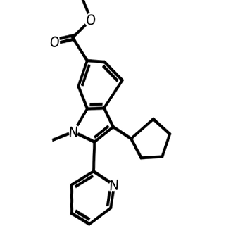 COC(=O)c1ccc2c(C3CCCC3)c(-c3ccccn3)n(C)c2c1